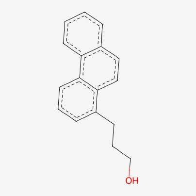 OCCCc1cccc2c1ccc1ccccc12